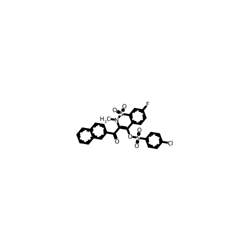 CN1C(C(=O)c2ccc3ccccc3c2)=C(OS(=O)(=O)c2ccc(Cl)cc2)c2ccc(F)cc2S1(=O)=O